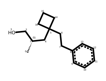 C[C@H](CO)CC1(CCc2ccccc2)CCC1